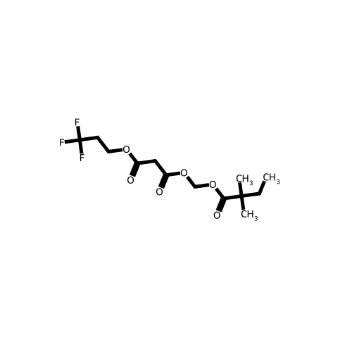 CCC(C)(C)C(=O)OCOC(=O)CC(=O)OCCC(F)(F)F